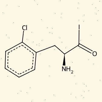 N[C@@H](Cc1ccccc1Cl)C(=O)I